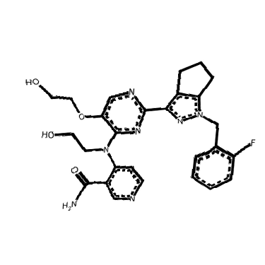 NC(=O)c1cnccc1N(CCO)c1nc(-c2nn(Cc3ccccc3F)c3c2CCC3)ncc1OCCO